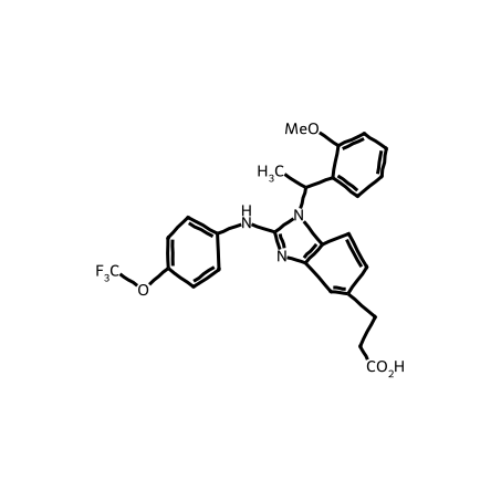 COc1ccccc1C(C)n1c(Nc2ccc(OC(F)(F)F)cc2)nc2cc(CCC(=O)O)ccc21